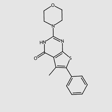 Cc1c(-c2ccccc2)sc2nc(N3CCOCC3)[nH]c(=O)c12